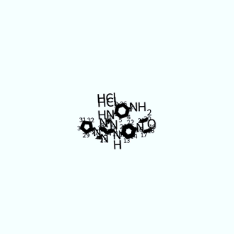 Cl.Cl.N[C@H]1CC[C@H](Nc2nc(Nc3ccc(N4CCOCC4)cc3)c3ncn(C4CCCC4)c3n2)CC1